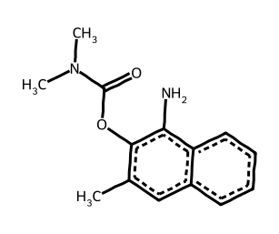 Cc1cc2ccccc2c(N)c1OC(=O)N(C)C